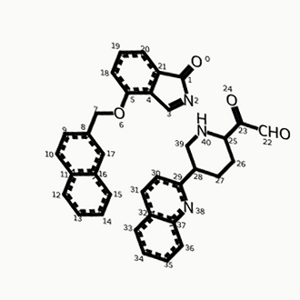 O=C1N=Cc2c(OCc3ccc4ccccc4c3)cccc21.O=CC(=O)C1CCC(c2ccc3ccccc3n2)CN1